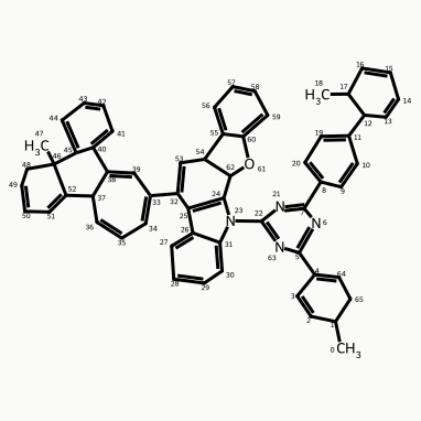 CC1C=CC(c2nc(-c3ccc(C4C=CC=CC4C)cc3)nc(-n3c4c(c5ccccc53)C(C3=CC=CC5C(=C3)c3ccccc3C3(C)CC=CC=C53)=CC3c5ccccc5OC43)n2)=CC1